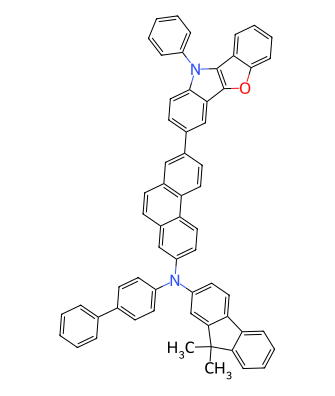 CC1(C)c2ccccc2-c2ccc(N(c3ccc(-c4ccccc4)cc3)c3ccc4c(ccc5cc(-c6ccc7c(c6)c6oc8ccccc8c6n7-c6ccccc6)ccc54)c3)cc21